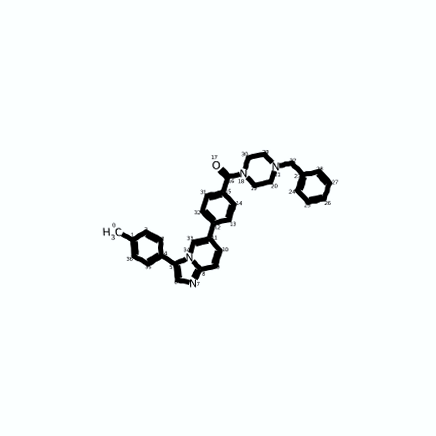 Cc1ccc(-c2cnc3ccc(-c4ccc(C(=O)N5CCN(Cc6ccccc6)CC5)cc4)cn23)cc1